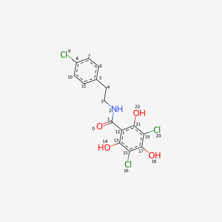 O=C(NCCc1ccc(Cl)cc1)c1c(O)c(Cl)c(O)c(Cl)c1O